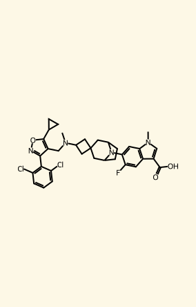 CN(Cc1c(-c2c(Cl)cccc2Cl)noc1C1CC1)C1CC2(C1)CC1CCC(C2)N1c1cc2c(cc1F)c(C(=O)O)cn2C